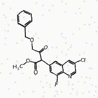 COC(=O)C(C(=O)COCc1ccccc1)c1cc(F)c2ncc(Cl)cc2c1